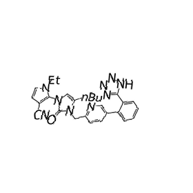 CCCCc1cn(-c2c(C#N)ccn2CC)c(=O)n1Cc1ccc(-c2ccccc2-c2nnn[nH]2)cn1